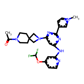 CC(=O)N1CCC2(CC1)CN(c1cc(Nc3cc(OC(F)F)ccn3)nc(-c3ccn(C)c3)n1)C2